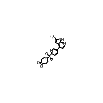 O=S1(=O)CCN(S(=O)(=O)c2ccc(-c3ccnc4[nH]c(C(F)(F)F)cc34)cn2)CC1